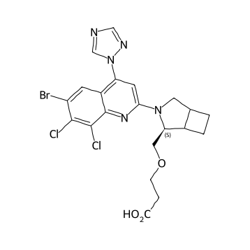 O=C(O)CCOC[C@@H]1C2CCC2CN1c1cc(-n2cncn2)c2cc(Br)c(Cl)c(Cl)c2n1